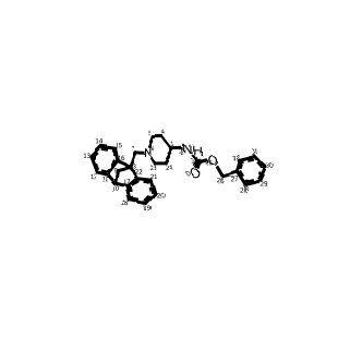 O=C(NC1CCN(CC23CC(c4ccccc42)c2ccccc23)CC1)OCc1ccccc1